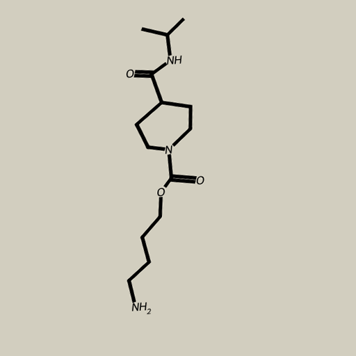 CC(C)NC(=O)C1CCN(C(=O)OCCCCN)CC1